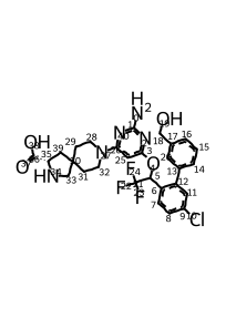 Nc1nc(OC(c2ccc(Cl)cc2-c2cccc(CO)c2)C(F)(F)F)cc(N2CCC3(CC2)CN[C@H](C(=O)O)C3)n1